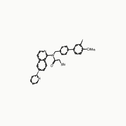 COc1ccc(-c2ccc(CN(C(=O)CC(C)(C)C)c3nccc4cc(-c5ccccn5)ccc34)cc2)cc1C